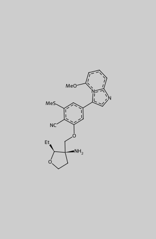 CC[C@@H]1OCC[C@@]1(N)COc1cc(-c2cnc3cccc(OC)n23)cc(SC)c1C#N